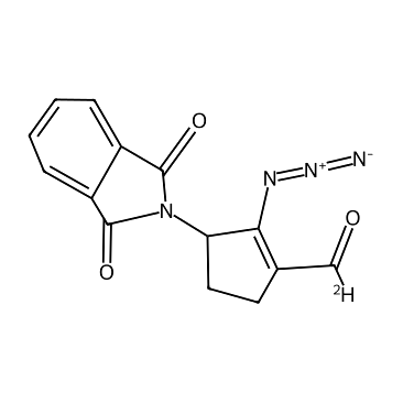 [2H]C(=O)C1=C(N=[N+]=[N-])C(N2C(=O)c3ccccc3C2=O)CC1